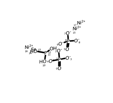 O=P([O-])([O-])[O-].O=P([O-])([O-])[O-].OP(O)O.[Fe].[Ni+2].[Ni+2].[Ni+2]